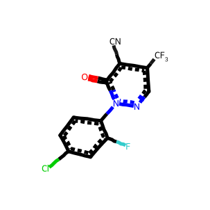 N#Cc1c(C(F)(F)F)cnn(-c2ccc(Cl)cc2F)c1=O